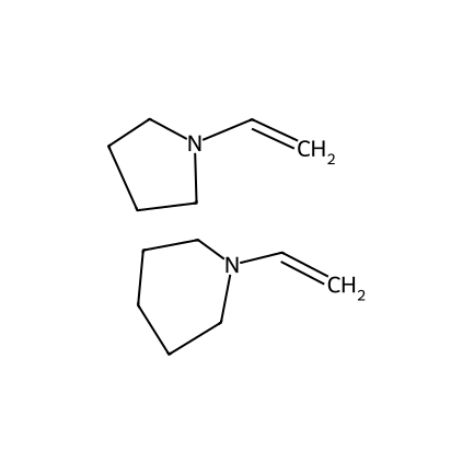 C=CN1CCCC1.C=CN1CCCCC1